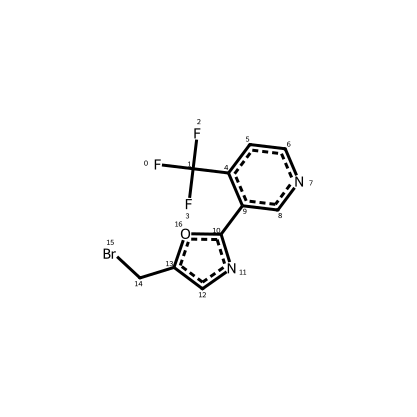 FC(F)(F)c1ccncc1-c1ncc(CBr)o1